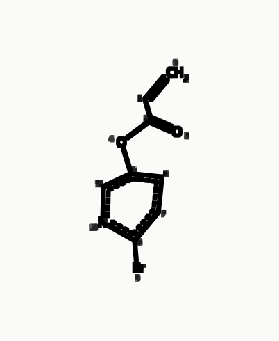 C=CC(=O)Oc1ccc(Br)nc1